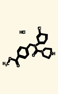 COC(=O)c1ccc(CN(C(=O)N2CCNCC2)c2cccc(Cl)c2)cc1.Cl